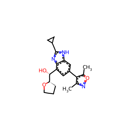 Cc1noc(C)c1-c1cc([C@@H](O)[C@@H]2CCCO2)c2nc(C3CC3)[nH]c2c1